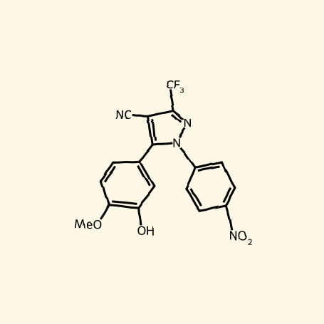 COc1ccc(-c2c(C#N)c(C(F)(F)F)nn2-c2ccc([N+](=O)[O-])cc2)cc1O